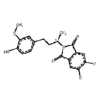 COc1cc(CC[C@@H](C)N2C(=O)c3cc(Cl)c(Cl)cc3C2=O)ccc1O